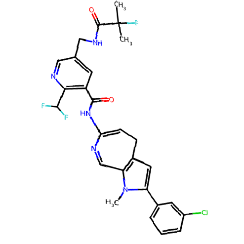 Cn1c(-c2cccc(Cl)c2)cc2c1C=NC(NC(=O)c1cc(CNC(=O)C(C)(C)F)cnc1C(F)F)=CC2